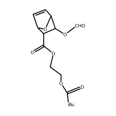 CCC(C)C(=O)OCCOC(=O)C1C2C=CC(O2)C1OC=O